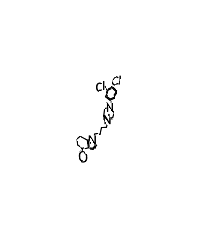 O=C1CCCc2c1ccn2CCCCN1CCN(c2ccc(Cl)c(Cl)c2)CC1